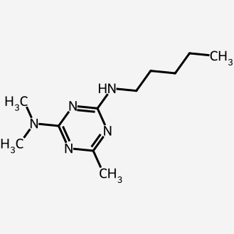 CCCCCNc1nc(C)nc(N(C)C)n1